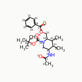 CC(=O)NC1CN(C(=O)OC(C)(C)C)C(COC(=O)c2ccccc2)C(C)C1C